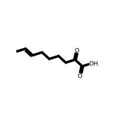 CC=CCCCCC(=O)C(=O)O